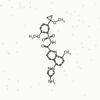 COc1ccc(C2(OC)CC2)cc1S(=O)(=O)NC(=O)c1ccc2c(-n3cc(N)cn3)ccc(C)c2n1